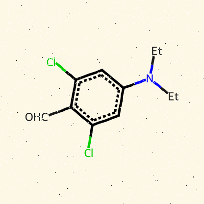 CCN(CC)c1cc(Cl)c(C=O)c(Cl)c1